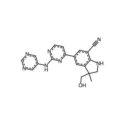 CC1(CO)CNc2c(C#N)cc(-c3ccnc(Nc4cncnc4)n3)cc21